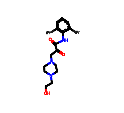 CC(C)c1cccc(C(C)C)c1NC(=O)C(=O)CN1CCN(CCO)CC1